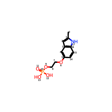 Cc1cc2cc(OCCOP(=O)(O)O)ccc2[nH]1